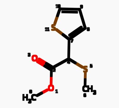 COC(=O)C(SC)c1cccs1